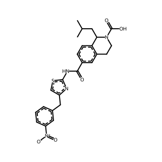 CC(C)CC1c2ccc(C(=O)Nc3nc(Cc4cccc([N+](=O)[O-])c4)cs3)cc2CCN1C(=O)O